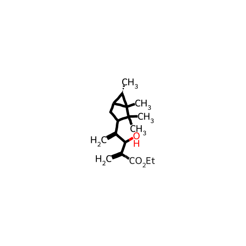 C=C(C(=O)OCC)C(O)C(=C)C1CC2[C@H](C)C2(C)C1(C)C